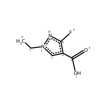 CCn1cc(C(=O)O)c(F)n1